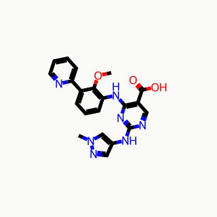 COc1c(Nc2nc(Nc3cnn(C)c3)ncc2C(=O)O)cccc1-c1ccccn1